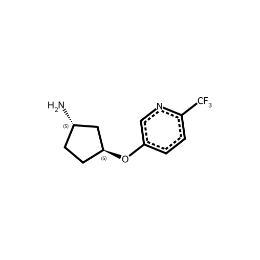 N[C@H]1CC[C@H](Oc2ccc(C(F)(F)F)nc2)C1